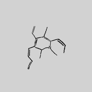 C=C/C=C\C1=C(C=C)C(C)=C(/C=C\C)N(C)C1C